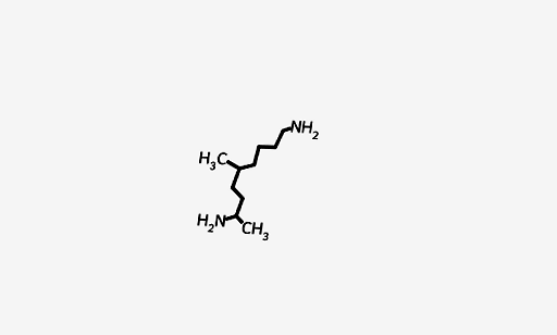 CC(N)CCC(C)CCCCN